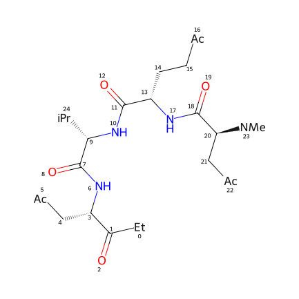 CCC(=O)[C@H](CC(C)=O)NC(=O)[C@@H](NC(=O)[C@H](CCC(C)=O)NC(=O)[C@H](CC(C)=O)NC)C(C)C